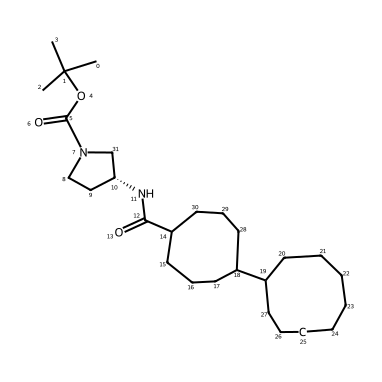 CC(C)(C)OC(=O)N1CC[C@@H](NC(=O)C2CCCC(C3CCCCCCCC3)CCC2)C1